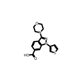 O=C(O)c1ccc2c(N3CCOCC3)nn(-c3ccsc3)c2c1